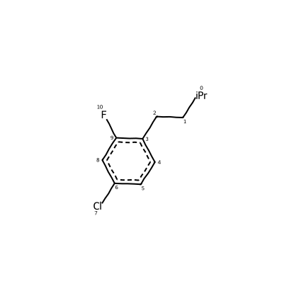 CC(C)CCc1ccc(Cl)cc1F